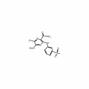 CCc1nc(C(N)=O)c(Nc2cccc(S(C)(=O)=O)c2)nc1NC